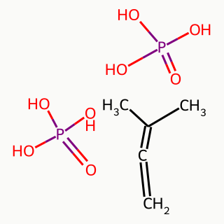 C=C=C(C)C.O=P(O)(O)O.O=P(O)(O)O